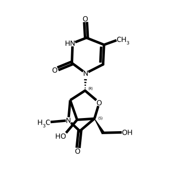 Cc1cn([C@@H]2O[C@]3(CO)C(=O)N(C)C2C3O)c(=O)[nH]c1=O